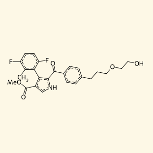 COC(=O)c1c[nH]c(C(=O)c2ccc(CCCOCCO)cc2)c1-c1c(F)ccc(F)c1C